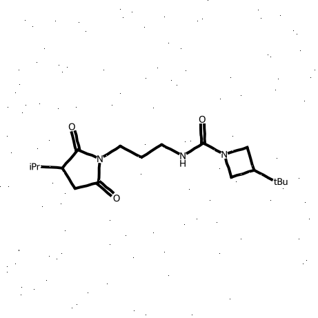 CC(C)C1CC(=O)N(CCCNC(=O)N2CC(C(C)(C)C)C2)C1=O